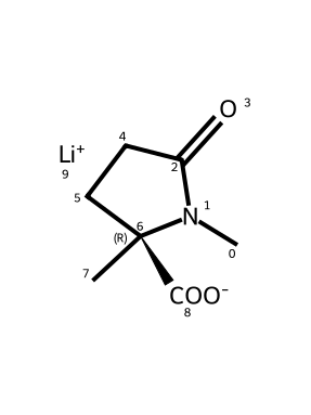 CN1C(=O)CC[C@]1(C)C(=O)[O-].[Li+]